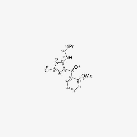 COc1ccccc1C(=O)c1cc(Cl)sc1NCC(C)C